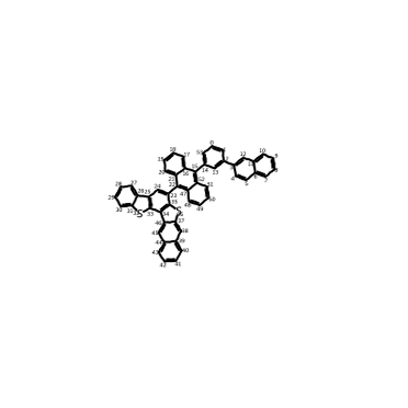 c1cc(-c2ccc3ccccc3c2)cc(-c2c3ccccc3c(-c3cc4c5ccccc5sc4c4c3sc3cc5ccccc5cc34)c3ccccc23)c1